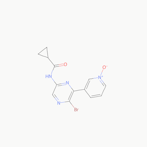 O=C(Nc1cnc(Br)c(-c2ccc[n+]([O-])c2)n1)C1CC1